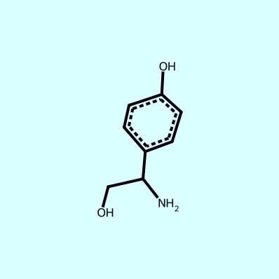 NC(CO)c1ccc(O)cc1